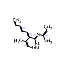 C=C/C=C/C=C(C(\C)=C/C(C)(C)C)/C(CC)=N/C(N)=C\C